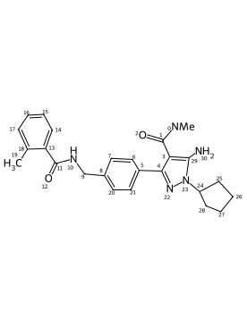 CNC(=O)c1c(-c2ccc(CNC(=O)c3ccccc3C)cc2)nn(C2CCCC2)c1N